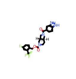 O=C(OCc1ccc(F)cc1C(F)(F)F)N1CC[C@@H]2CN(C(=O)c3ccc4[nH]nnc4c3)C[C@H]2C1